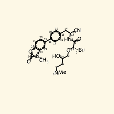 CCC(C)[C@H](OCC(O)CCNC)C(=O)N[C@H](C#N)Cc1ccc(-c2ccc3oc(=O)n(C)c3c2)cc1